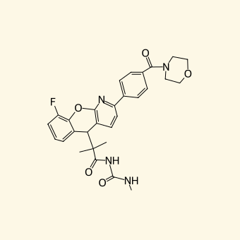 CNC(=O)NC(=O)C(C)(C)C1c2ccc(-c3ccc(C(=O)N4CCOCC4)cc3)nc2Oc2c(F)cccc21